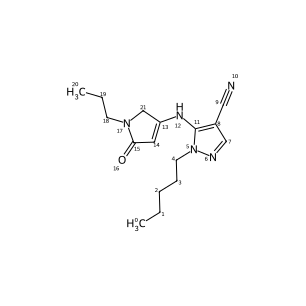 CCCCCn1ncc(C#N)c1NC1=CC(=O)N(CCC)C1